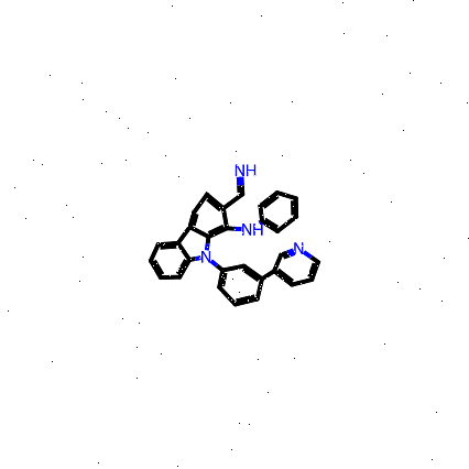 N=Cc1ccc2c3ccccc3n(-c3cccc(-c4cccnc4)c3)c2c1Nc1ccccc1